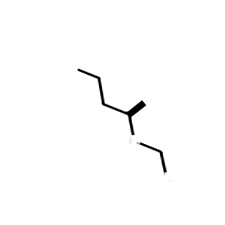 CCCCCC(=O)NCBr